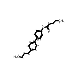 CCCCC(=O)Oc1ccc(C2=CCC(CCCC)CC2)cc1